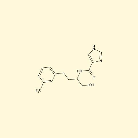 O=C(NC(CO)CCc1cccc(C(F)(F)F)c1)c1c[nH]cn1